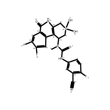 CN(C(=O)Nc1ccc(F)c(C#N)c1)C1CS(O)(O)Cc2[nH]c(=O)c3cc(F)c(F)cc3c21